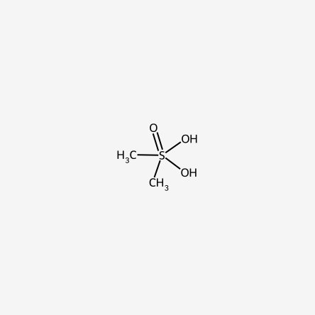 CS(C)(=O)(O)O